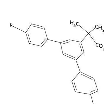 CC(C)(C(=O)O)c1cc(-c2ccc(F)cc2)cc(-c2ccc(F)cc2)c1